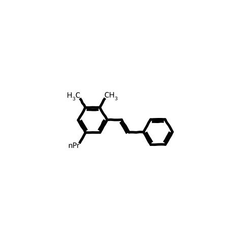 CCCc1cc(C)c(C)c(C=Cc2ccccc2)c1